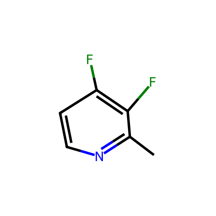 Cc1nccc(F)c1F